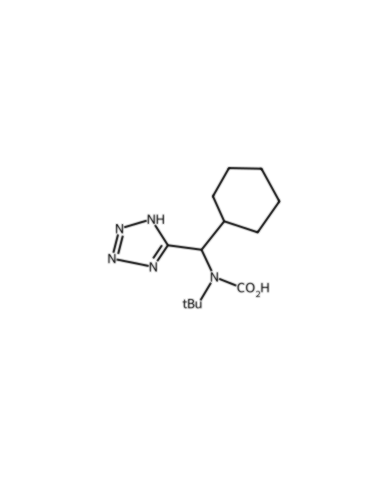 CC(C)(C)N(C(=O)O)C(c1nnn[nH]1)C1CCCCC1